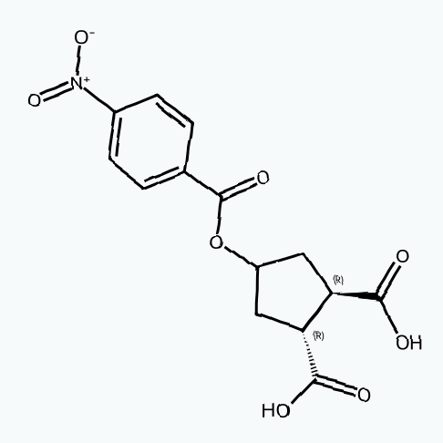 O=C(OC1C[C@@H](C(=O)O)[C@H](C(=O)O)C1)c1ccc([N+](=O)[O-])cc1